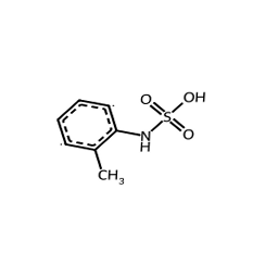 Cc1[c]cc[c]c1NS(=O)(=O)O